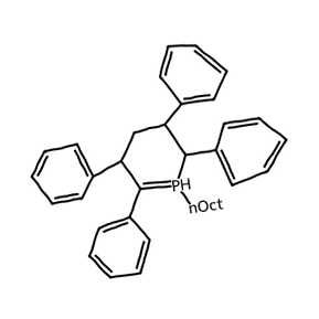 CCCCCCCC[PH]1=C(c2ccccc2)C(c2ccccc2)CC(c2ccccc2)C1c1ccccc1